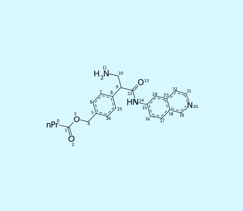 CCCC(=O)OCc1ccc(C(CN)C(=O)Nc2ccc3cnccc3c2)cc1